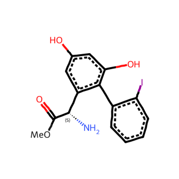 COC(=O)[C@@H](N)c1cc(O)cc(O)c1-c1ccccc1I